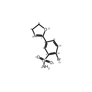 NS(=O)(=O)c1cc(C2=NCCO2)ccc1Br